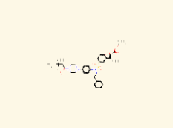 CCOC(=O)c1oc2ccc(S(=O)(=O)N(CCc3ccccc3)c3ccc(N4CCN(C(=O)CC(C)(C)C)CC4)cc3)cc2c1C